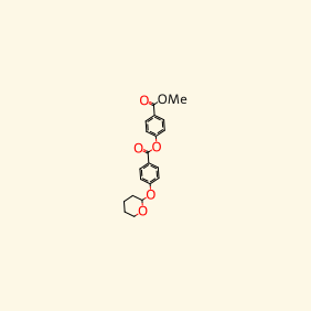 COC(=O)c1ccc(OC(=O)c2ccc(OC3CCCCO3)cc2)cc1